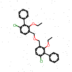 CCOc1c(COCc2ccc(Cl)c(-c3ccccc3)c2OCC)ccc(Cl)c1-c1ccccc1